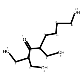 O=C(C(CO)CO)C(CO)CCCCO